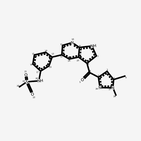 Cc1cc(C(=O)c2c[nH]c3ncc(-c4cccc(NS(C)(=O)=O)c4)cc23)nn1C